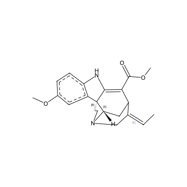 C/C=C1/CN2CC[C@]34C(=C(C(=O)OC)C1C[C@H]23)Nc1ccc(OC)cc14